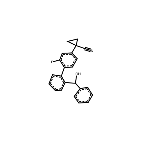 N#CC1(c2ccc(-c3ccccc3C(O)c3ccccc3)c(F)c2)CC1